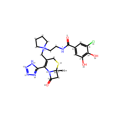 O=C(NCC[N+]1(CC2=C(c3nnn[nH]3)N3C(=O)C[C@H]3SC2)CCCC1)c1cc(O)c(O)c(Cl)c1